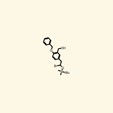 CC(C)(C)[Si](C)(C)OC(Br)Cc1ccc(OCc2ccccc2)c(CO)c1